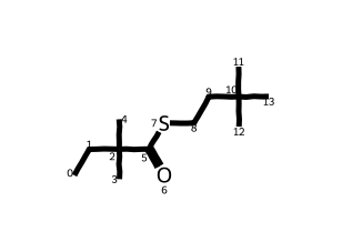 CCC(C)(C)C(=O)SCCC(C)(C)C